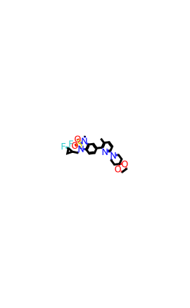 Cc1ccc(N2CCC3(CC2)OCCO3)nc1-c1ccc2c(c1)N(C)S(=O)(=O)N2CC1CC1(F)F